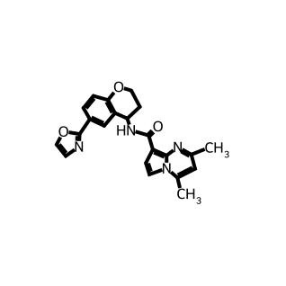 Cc1cc(C)n2ccc(C(=O)NC3CCOc4ccc(-c5ncco5)cc43)c2n1